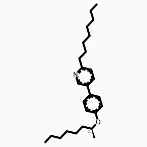 CCCCCCCCc1ccc(-c2ccc(O[C@@H](C)CCCCCC)cc2)cn1